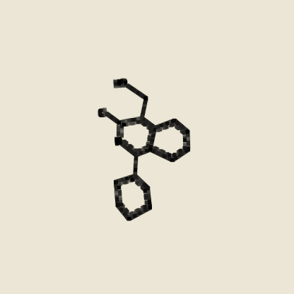 OCc1c(Cl)nc(-c2ccccc2)c2ccccc12